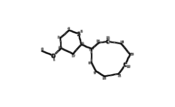 COC1CCSC([C]2CCCCCCCCC2)C1